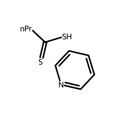 CCCC(=S)S.c1ccncc1